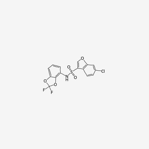 O=S(=O)(Nc1cccc2c1OC(F)(F)O2)c1coc2cc(Cl)ccc12